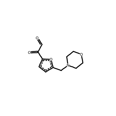 O=CC(=O)c1ccc(CN2CCOCC2)o1